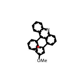 COc1csc(-c2cccc3nc4ccccc4c(-c4ccccc4)c23)c1